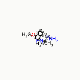 CCOc1ccc2c3c(cccc13)C/C(=C/N)CC(C)(C)N2